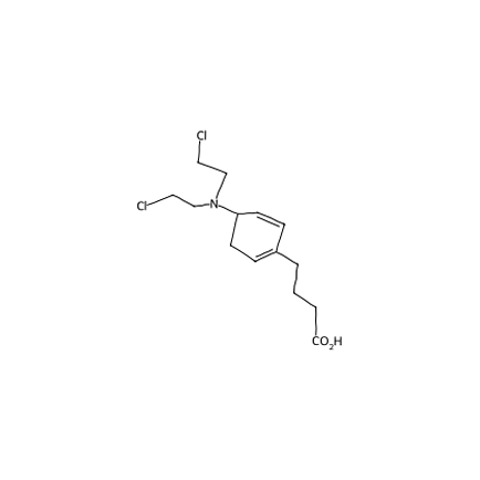 O=C(O)CCCC1=CCC(N(CCCl)CCCl)C=C1